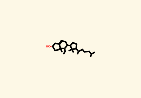 CCC1C(C2CCC(C(C)CCCC(C)C)C2(C)C)CC=C2C[C@@H](O)CCC21C